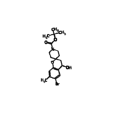 Cc1cc2c(cc1Br)C(O)CC1(CCN(C(=O)OC(C)(C)C)CC1)O2